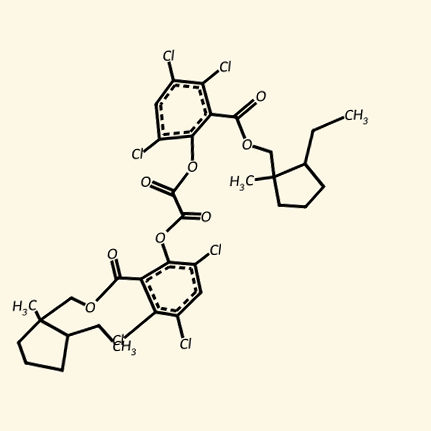 CCC1CCCC1(C)COC(=O)c1c(Cl)c(Cl)cc(Cl)c1OC(=O)C(=O)Oc1c(Cl)cc(Cl)c(Cl)c1C(=O)OCC1(C)CCCC1CC